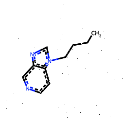 CCC[CH]n1cnc2cnccc21